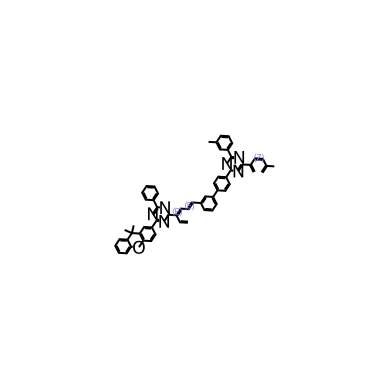 C=C/C(=C\C=C\c1cccc(-c2ccc(-c3nc(C(=C)/C=C\C(=C)C)nc(-c4cccc(C)c4)n3)cc2)c1)c1nc(-c2ccccc2)nc(-c2ccc3c(c2)C(C)(C)c2ccccc2O3)n1